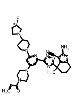 C=CC(=O)N1CCN(c2cc(-c3noc(C4(C)CCCc5sc(N)c(C#N)c54)n3)nc(N3CCC(N4CC[C@@H](F)C4)CC3)c2)CC1